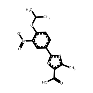 Cc1nc(-c2ccc(OC(C)C)c([N+](=O)[O-])c2)sc1C(=O)O